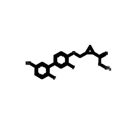 COC(=O)C1CC1COc1ccc(-c2cc(O)ccc2F)cc1F